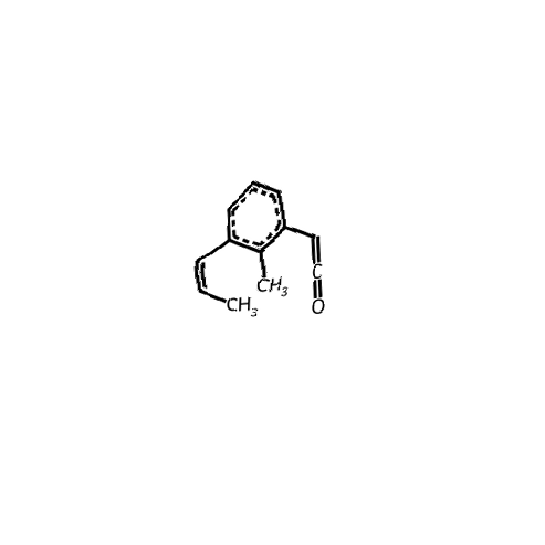 C/C=C\c1cccc(C=C=O)c1C